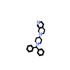 c1ccc(C(c2ccccc2)N2CCC(N3CCc4ccncc4C3)CC2)cc1